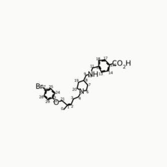 CC(=CCCN1CCC(CNCc2ccc(C(=O)O)cc2)CC1)COc1ccc(Br)cc1